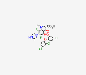 CCn1cc(C(=O)O)c(=O)c2cc(F)c(N3CCNC(C)C3)c(F)c21.Oc1cc(Cl)ccc1Oc1ccc(Cl)cc1Cl